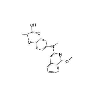 COc1nc(N(C)c2ccc(OC(C)C(=O)O)cc2)cc2ccccc12